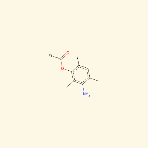 CCC(=O)Oc1c(C)cc(C)c(N)c1C